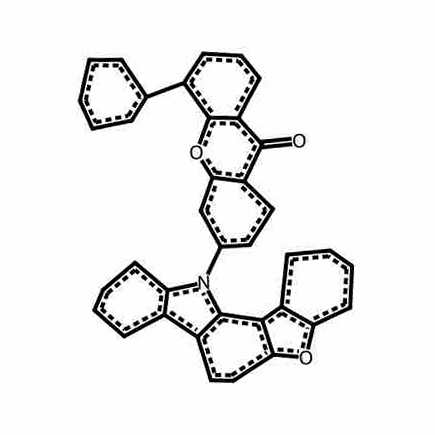 O=c1c2ccc(-n3c4ccccc4c4ccc5oc6ccccc6c5c43)cc2oc2c(-c3ccccc3)cccc12